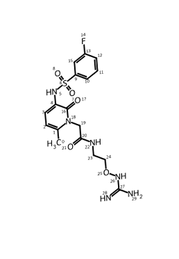 Cc1ccc(NS(=O)(=O)c2cccc(F)c2)c(=O)n1CC(=O)NCCONC(=N)N